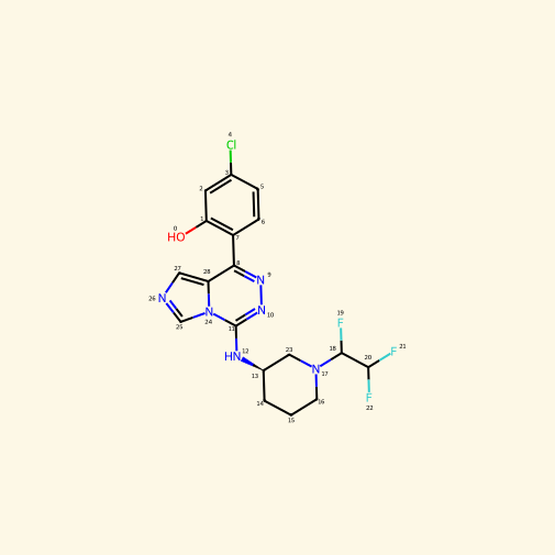 Oc1cc(Cl)ccc1-c1nnc(N[C@@H]2CCCN(C(F)C(F)F)C2)n2cncc12